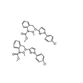 COC(=O)N(OC)c1ccccc1COc1ccn(-c2ccc(Cl)cc2)n1.COC(=O)N(OC)c1ccccc1COc1ccn(-c2ccc(Cl)cc2)n1